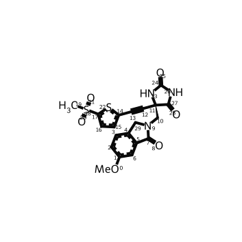 COc1ccc2c(c1)C(=O)N(C[C@@]1(C#Cc3ccc(S(C)(=O)=O)s3)NC(=O)NC1=O)C2